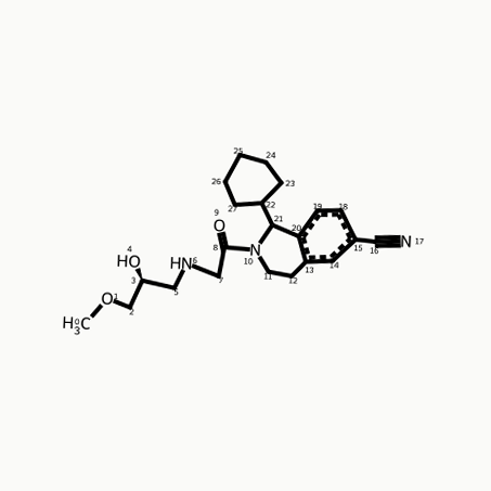 COC[C@@H](O)CNCC(=O)N1CCc2cc(C#N)ccc2C1C1CCCCC1